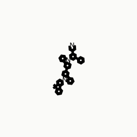 CC1(C)c2ccccc2-c2cc(-n3c4ccccc4c4cc(-c5ccc6c(c5)c5ccccc5n6-c5cc(-c6ccccc6)cc(-c6ccncc6)c5)ccc43)ccc21